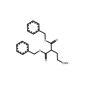 COCCC(C(=O)OCc1ccccc1)C(=O)OCc1ccccc1